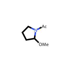 [CH2]C(=O)N1CCCC1OC